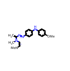 C=C(/N=N/c1ccc(Nc2ccc(OC)cc2)cc1)N(C)/C=C\NC